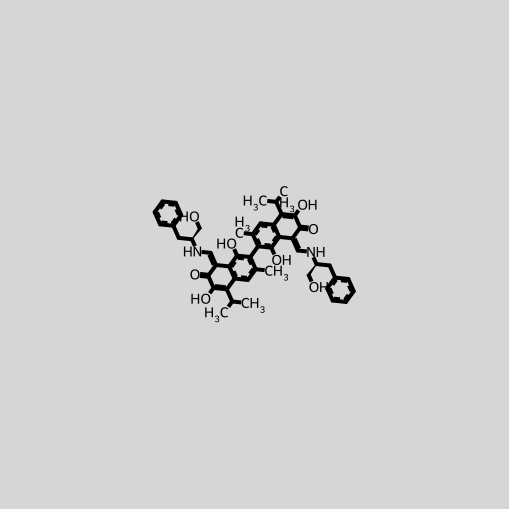 Cc1cc2c(c(O)c1-c1c(C)cc3c(c1O)/C(=C/N[C@H](CO)Cc1ccccc1)C(=O)C(O)=C3C(C)C)/C(=C/N[C@H](CO)Cc1ccccc1)C(=O)C(O)=C2C(C)C